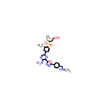 CNCc1ccc(-c2nnc(-c3nc(-c4ccc(S(=O)(=O)C(C)CCO)c(C)c4)cnc3N)o2)cc1